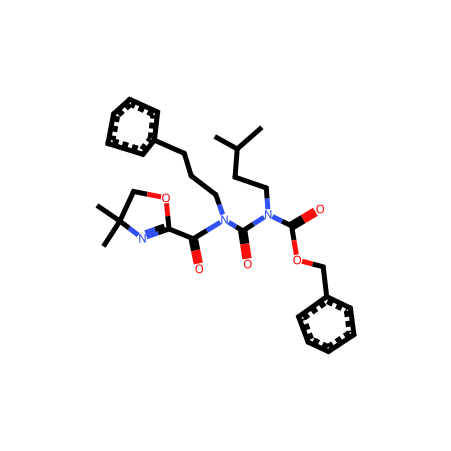 CC(C)CCN(C(=O)OCc1ccccc1)C(=O)N(CCCc1ccccc1)C(=O)C1=NC(C)(C)CO1